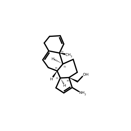 C[C@]12C=CCCC1=CC[C@H]1[C@@H]3CC=C(N)[C@@]3(CO)CC[C@@H]12